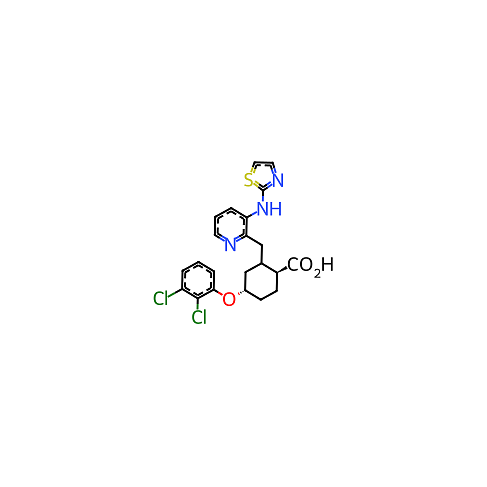 O=C(O)[C@H]1CC[C@H](Oc2cccc(Cl)c2Cl)CC1Cc1ncccc1Nc1nccs1